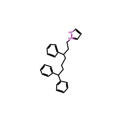 C1=CP[PH](CCC(CCCC(c2ccccc2)c2ccccc2)c2ccccc2)=C1